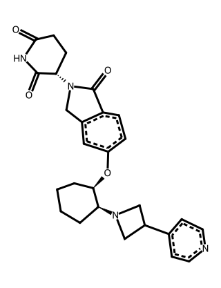 O=C1CC[C@H](N2Cc3cc(O[C@@H]4CCCC[C@@H]4N4CC(c5ccncc5)C4)ccc3C2=O)C(=O)N1